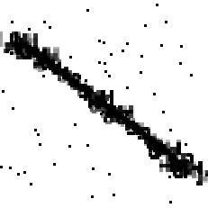 CN[C@@H](CCCCNC(=O)CCOCCOCCOCCOCCNC(=O)CCCC(=O)NCOCCOCCOCCOCC(=O)NCCCC[C@H](NC)C(N)=O)C(N)=O